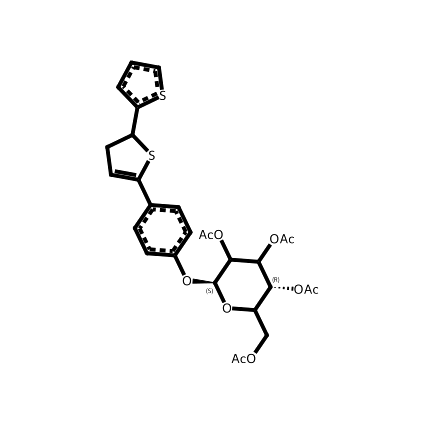 CC(=O)OCC1O[C@@H](Oc2ccc(C3=CCC(c4cccs4)S3)cc2)C(OC(C)=O)C(OC(C)=O)[C@@H]1OC(C)=O